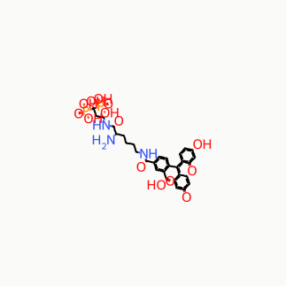 NC(CCCCNC(=O)c1ccc(-c2c3ccc(=O)cc-3oc3cc(O)ccc23)c(C(=O)O)c1)C(=O)NCCC(O)(P(=O)(O)O)P(=O)(O)O